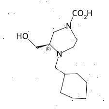 O=C(O)N1CCN(CC2CCCCC2)[C@@H](CO)C1